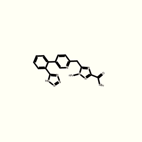 CCCCC(=O)c1nc(Cc2ccc(-c3ccccc3-c3nnn[nH]3)cn2)n(CCC)n1